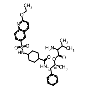 CCOc1ccc2cc(S(=O)(=O)NC3CCC(C(=O)N[C@@H](c4ccccc4)[C@H](C)OC(=O)C(N)C(C)C)CC3)ccc2n1